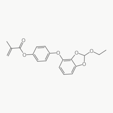 C=C(C)C(=O)Oc1ccc(Oc2cccc3c2OC(OCC)O3)cc1